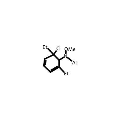 CCC1=CC=CC(Cl)(CC)C1N(OC)C(C)=O